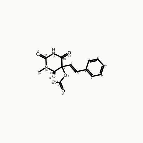 CCC(=O)OC1(C=Cc2ccccc2)C(=O)NC(=O)N(C)C1=O